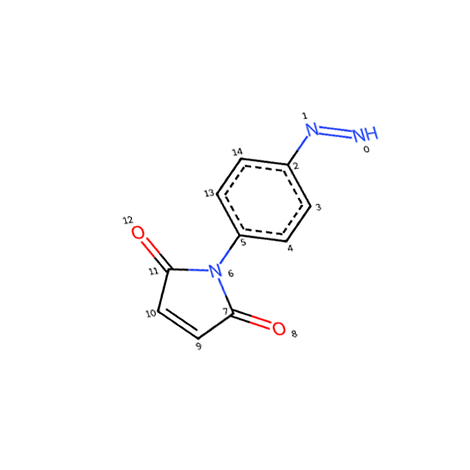 N=Nc1ccc(N2C(=O)C=CC2=O)cc1